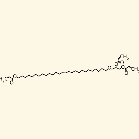 C=CC(=O)OCCCCCCCCCCCCCCCCCCCCCCCCCCCOCC(COC(=O)C=C)OC(=O)C=C